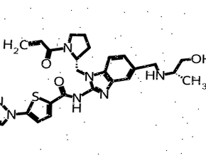 C=CC(=O)N1CCC[C@@H]1Cn1c(NC(=O)c2ccc(-n3cncn3)s2)nc2cc(CN[C@@H](C)CO)ccc21